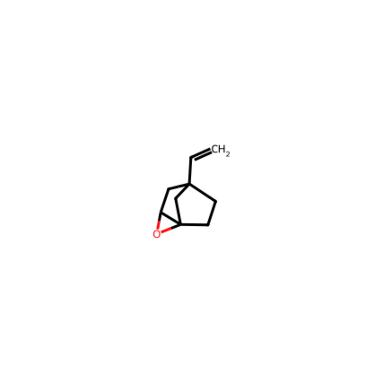 C=CC12CCC3(C1)OC3C2